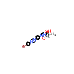 CCC(C(C)O)n1ccn(-c2ccc(N3CCN(c4ccc(Br)cc4)CC3)cc2)c1=O